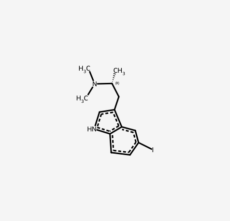 C[C@H](Cc1c[nH]c2ccc(I)cc12)N(C)C